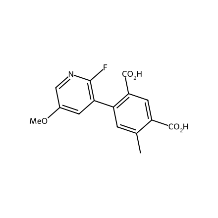 COc1cnc(F)c(-c2cc(C)c(C(=O)O)cc2C(=O)O)c1